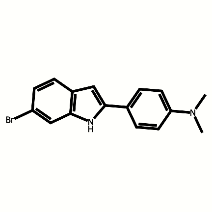 CN(C)c1ccc(-c2cc3ccc(Br)cc3[nH]2)cc1